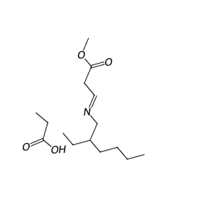 CCC(=O)O.CCCCC(CC)CN=CCC(=O)OC